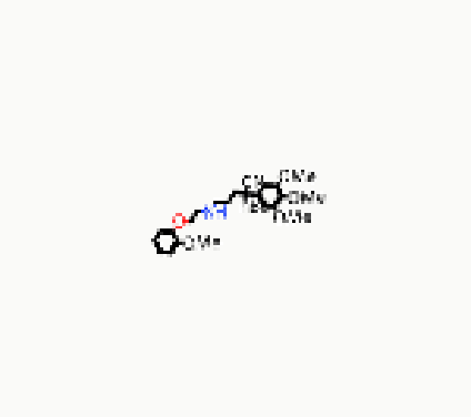 CCCCC(C#N)(CCCNCCOc1ccccc1OC)c1cc(OC)c(OC)c(OC)c1